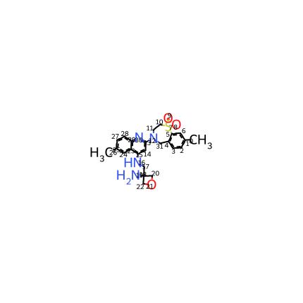 Cc1ccc2c(c1)S(=O)(=O)CCN(c1cc(NCC3(N)COC3)c3cc(C)ccc3n1)C2